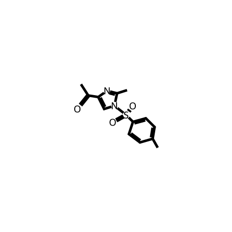 CC(=O)c1cn(S(=O)(=O)c2ccc(C)cc2)c(C)n1